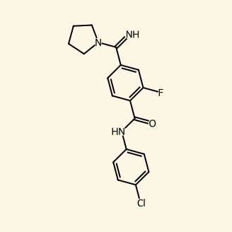 N=C(c1ccc(C(=O)Nc2ccc(Cl)cc2)c(F)c1)N1CCCC1